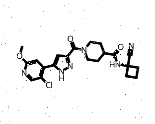 COc1cc(-c2cc(C(=O)N3CCC(C(=O)NC4(C#N)CCC4)CC3)n[nH]2)c(Cl)cn1